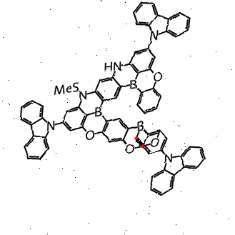 CSN1c2cc3c(cc2B2c4cc5c(cc4Oc4cc(-n6c7ccccc7c7ccccc76)cc1c42)Oc1cc(-n2c4ccccc4c4ccccc42)cc2c1B5c1ccccc1O2)B1c2ccccc2Oc2cc(-n4c5ccccc5c5ccccc54)cc(c21)N3